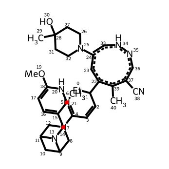 CCC(/C=C\C(=N/C)N1CC2CC(C1)N2CC1=CC=C(OC)NC1)c1cc(N2CCC(C)(O)CC2)c[nH]ncc(C#N)c1C